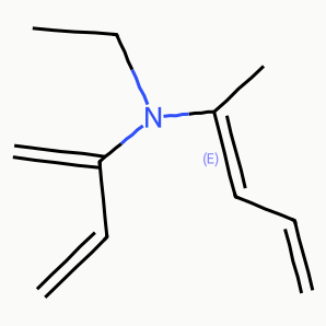 C=C/C=C(\C)N(CC)C(=C)C=C